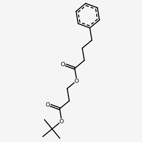 CC(C)(C)OC(=O)CCOC(=O)CCCc1ccccc1